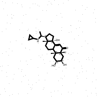 CC(NC1CC1)[C@H]1CC[C@@]2(O)C3=CC(=O)[C@@H]4C[C@@H](O)[C@@H](O)C[C@]4(C)C3CC[C@]12C